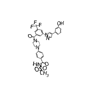 CS(=O)(=O)NC(=O)c1ccc(N2CCN(C(=O)c3cc(-n4cc(-c5cccc(O)c5)cn4)cc(C(F)(F)F)c3)CC2)cc1